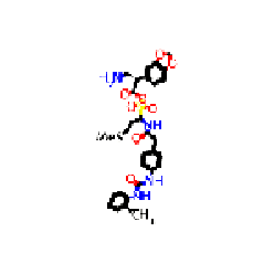 CSCC[C@H](NC(=O)Cc1ccc(NC(=O)Nc2ccccc2C)cc1)S(=O)(=O)OC(=O)[C@H](CN)c1ccc2c(c1)OCO2